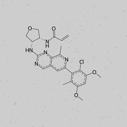 C=CC(=O)N[C@H]1COC[C@H]1Nc1ncc2cc(-c3c(C)c(OC)cc(OC)c3Cl)nc(C)c2n1